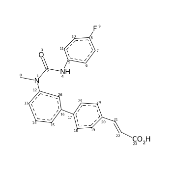 CN(C(=O)Nc1ccc(F)cc1)c1cccc(-c2ccc(C=CC(=O)O)cc2)c1